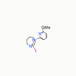 COc1cccc(N2CC(I)N3CCCC2CC3)n1